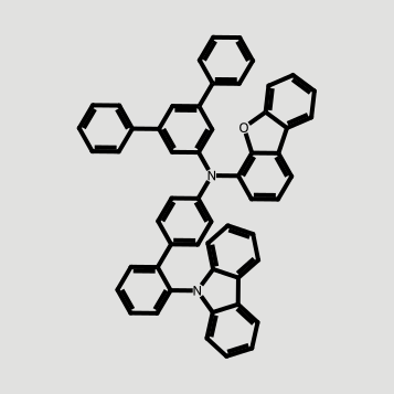 c1ccc(-c2cc(-c3ccccc3)cc(N(c3ccc(-c4ccccc4-n4c5ccccc5c5ccccc54)cc3)c3cccc4c3oc3ccccc34)c2)cc1